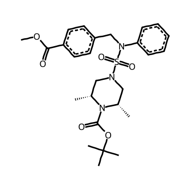 COC(=O)c1ccc(CN(c2ccccc2)S(=O)(=O)N2C[C@@H](C)N(C(=O)OC(C)(C)C)[C@@H](C)C2)cc1